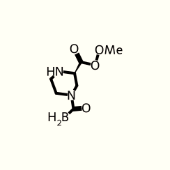 BC(=O)N1CCN[C@@H](C(=O)OOC)C1